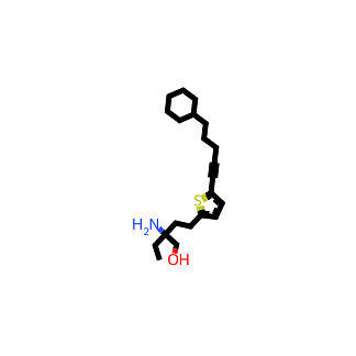 CCC(N)(CO)CCc1ccc(C#CCCCC2CCCCC2)s1